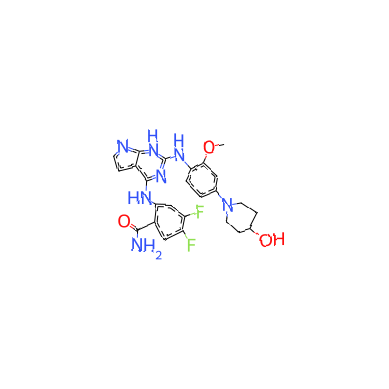 COc1cc(N2CCC(O)CC2)ccc1Nc1nc(Nc2cc(F)c(F)cc2C(N)=O)c2ccnc-2[nH]1